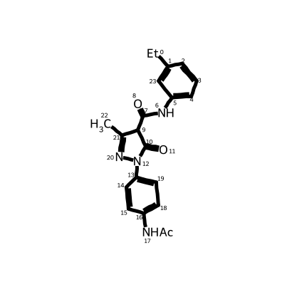 CCc1cccc(NC(=O)C2C(=O)N(c3ccc(NC(C)=O)cc3)N=C2C)c1